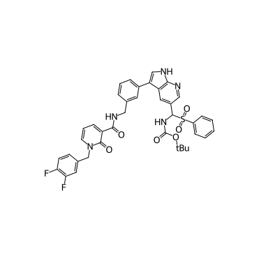 CC(C)(C)OC(=O)NC(c1cnc2[nH]cc(-c3cccc(CNC(=O)c4cccn(Cc5ccc(F)c(F)c5)c4=O)c3)c2c1)S(=O)(=O)c1ccccc1